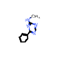 CNc1n[c]nc(-c2ccccc2)n1